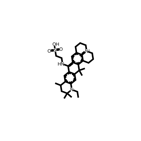 CCN1c2cc3c(cc2C(C)CC1(C)C)C(NCCS(=O)(=O)O)=c1cc2c4c(c1C3(C)C)CCC[N+]=4CCC2